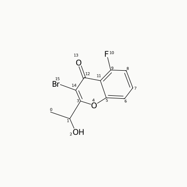 CC(O)c1oc2cccc(F)c2c(=O)c1Br